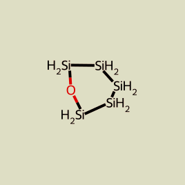 O1[SiH2][SiH2][SiH2][SiH2][SiH2]1